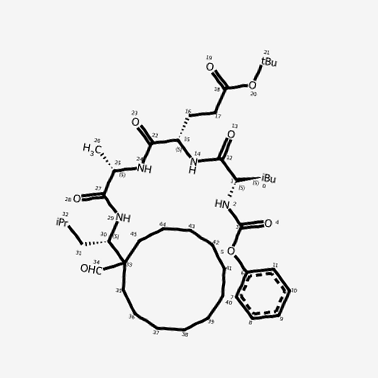 CC[C@H](C)[C@H](NC(=O)Oc1ccccc1)C(=O)N[C@@H](CCC(=O)OC(C)(C)C)C(=O)N[C@@H](C)C(=O)N[C@@H](CC(C)C)C1(C=O)CCCCCCCCCCC1